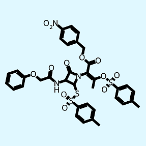 C/C(OS(=O)(=O)c1ccc(C)cc1)=C(/C(=O)OCc1ccc([N+](=O)[O-])cc1)N1C(=O)C(NC(=O)COc2ccccc2)C1SS(=O)(=O)c1ccc(C)cc1